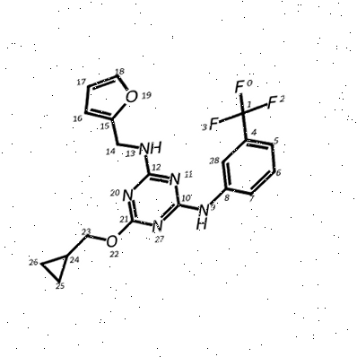 FC(F)(F)c1cccc(Nc2nc(NCc3ccco3)nc(OCC3CC3)n2)c1